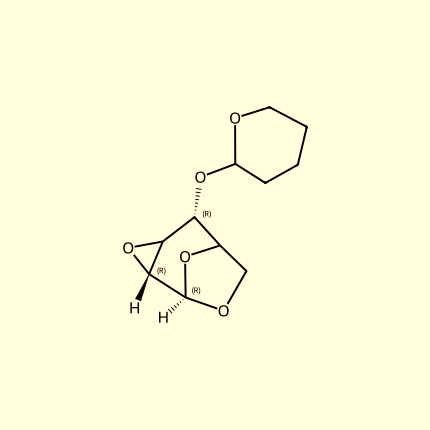 C1CCC(O[C@@H]2C3CO[C@H](O3)[C@@H]3OC23)OC1